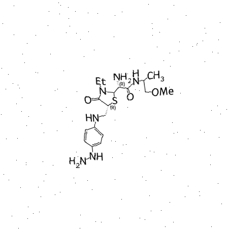 CCN1C(=O)[C@@H](CNc2ccc(NN)cc2)SC1[C@H](N)C(=O)NC(C)COC